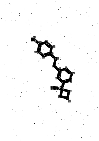 OC1(c2cncc(COc3ccc(Br)cc3)c2)COC1